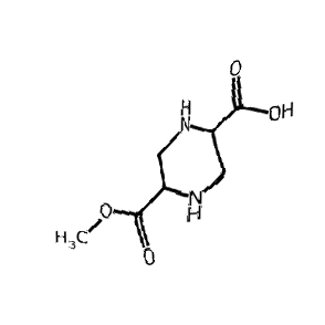 COC(=O)C1CNC(C(=O)O)CN1